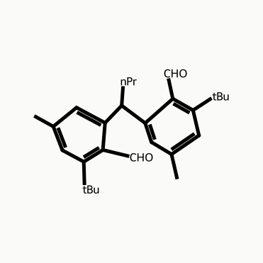 CCCC(c1cc(C)cc(C(C)(C)C)c1C=O)c1cc(C)cc(C(C)(C)C)c1C=O